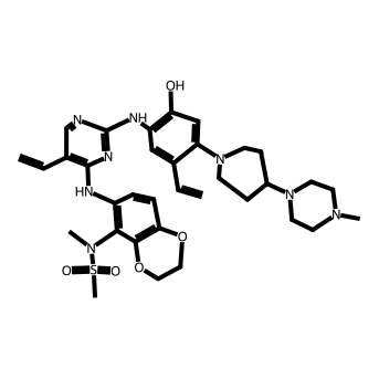 C=Cc1cc(Nc2ncc(C=C)c(Nc3ccc4c(c3N(C)S(C)(=O)=O)OCCO4)n2)c(O)cc1N1CCC(N2CCN(C)CC2)CC1